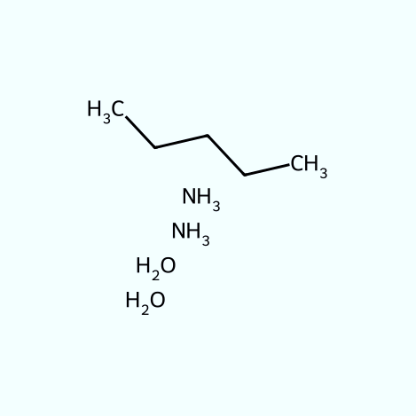 CCCCC.N.N.O.O